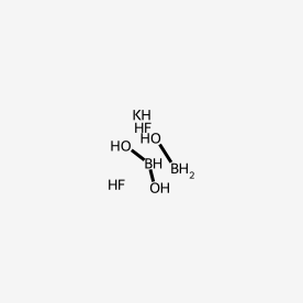 BO.F.F.OBO.[KH]